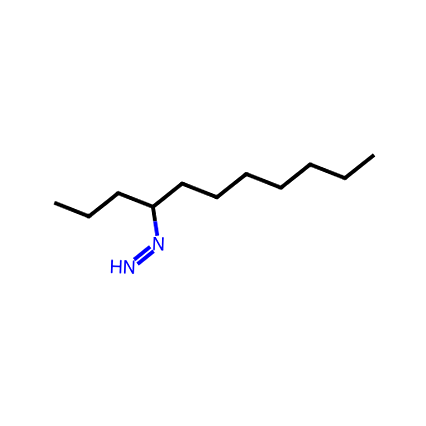 CCCCCCCC(CCC)N=N